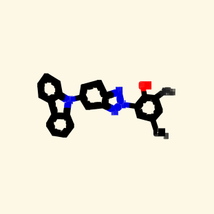 Cc1cc(-n2nc3ccc(-n4c5ccccc5c5ccccc54)cc3n2)c(O)c(C(C)(C)C)c1